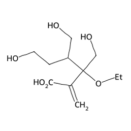 C=C(C(=O)O)C(CO)(OCC)C(CO)CCO